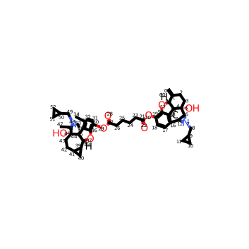 C=C1CC[C@@]2(O)C3N(CC4CC4)C34C[C@@]23c2c4ccc(OC(=O)CCCCC(=O)Oc4ccc(C)c5c4O[C@H]4C6CC6CC[C@@]6(O)C(C)N(CC7CC7)CC[C@]546)c2O[C@@H]13